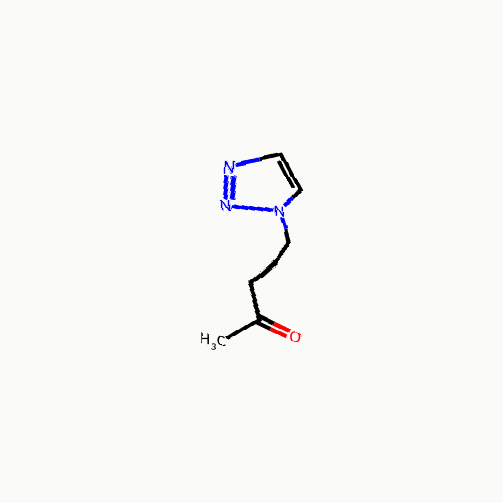 CC(=O)CCn1ccnn1